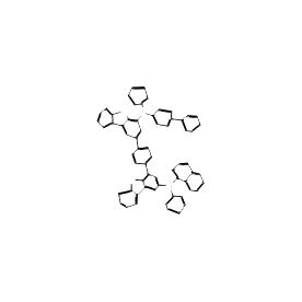 c1ccc(-c2ccc(N(c3ccccc3)c3cc(-c4ccc(-c5cc(N(c6ccccc6)c6cccc7ccccc67)cc6c5sc5ccccc56)cc4)cc4c3sc3ccccc34)cc2)cc1